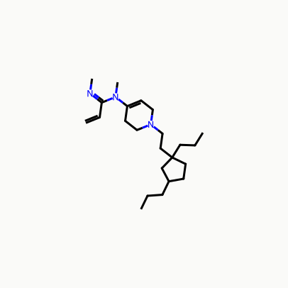 C=C/C(=N/C)N(C)C1=CCN(CCC2(CCC)CCC(CCC)C2)CC1